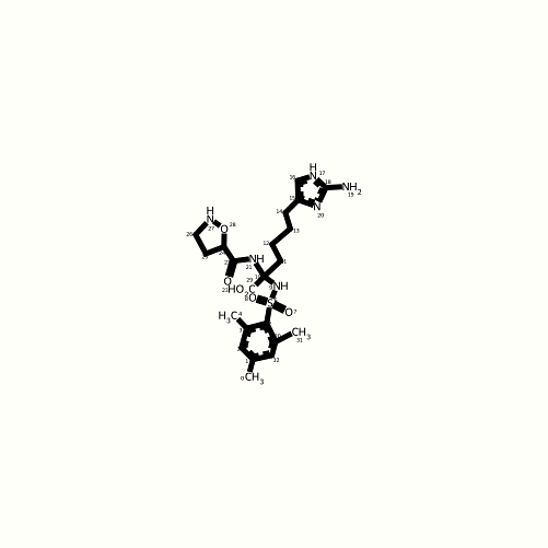 Cc1cc(C)c(S(=O)(=O)NC(CCCCc2c[nH]c(N)n2)(NC(=O)C2CCNO2)C(=O)O)c(C)c1